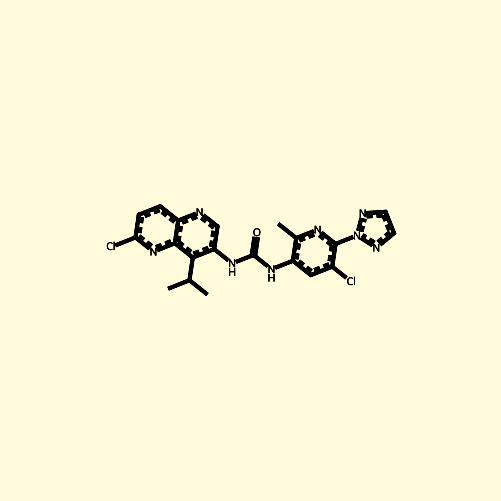 Cc1nc(-n2nccn2)c(Cl)cc1NC(=O)Nc1cnc2ccc(Cl)nc2c1C(C)C